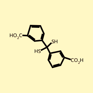 O=C(O)c1cccc(C(S)(S)c2cccc(C(=O)O)c2)c1